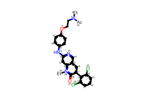 CCN(CCOc1ccc(Nc2cc3c(cn2)cc(-c2c(Cl)cccc2Cl)c(=O)n3CC)cc1)C(C)=O